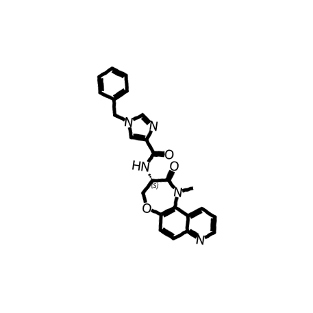 CN1C(=O)[C@@H](NC(=O)c2cn(Cc3ccccc3)cn2)COc2ccc3ncccc3c21